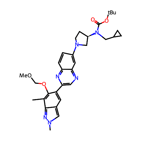 COCOc1c(-c2cnc3cc(N4CC[C@@H](N(CC5CC5)C(=O)OC(C)(C)C)C4)ccc3n2)cc2cn(C)nc2c1C